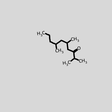 CCCC(C)CC(C)CC(=O)C(C)C